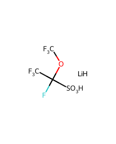 O=S(=O)(O)C(F)(OC(F)(F)F)C(F)(F)F.[LiH]